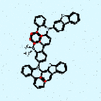 C[Si]1(C)c2cc(N(c3ccccc3-c3ccccc3)c3cccc4c3oc3ccccc34)ccc2-c2ccc(N(c3ccc4c(c3)oc3ccccc34)c3ccccc3-c3ccccc3)c3cccc1c23